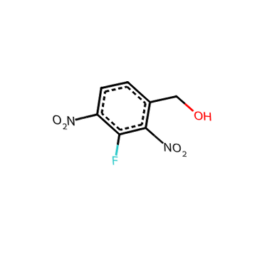 O=[N+]([O-])c1ccc(CO)c([N+](=O)[O-])c1F